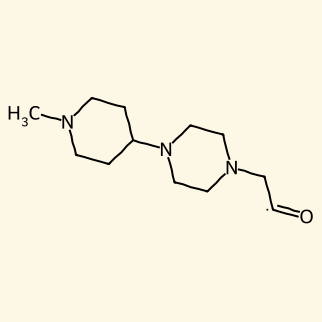 CN1CCC(N2CCN(C[C]=O)CC2)CC1